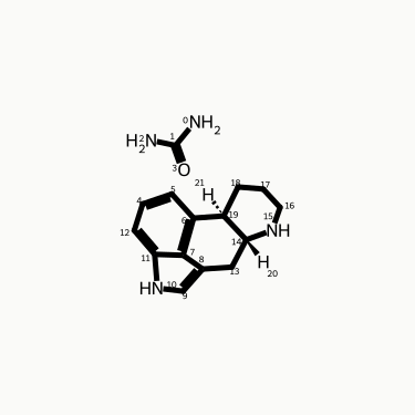 NC(N)=O.c1cc2c3c(c[nH]c3c1)C[C@H]1NCCC[C@H]21